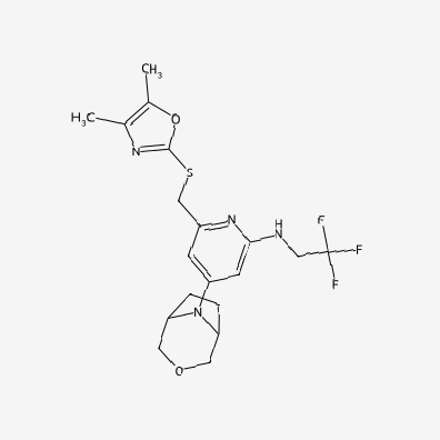 Cc1nc(SCc2cc(N3C4CCC3COC4)cc(NCC(F)(F)F)n2)oc1C